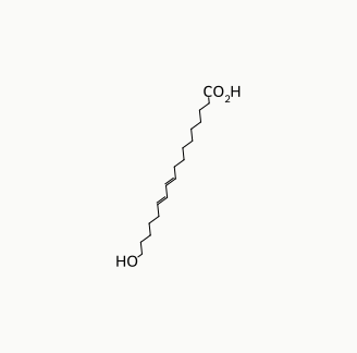 O=C(O)CCCCCCCCC=CC=CCCCCCO